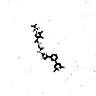 Cc1cc(-c2cccc(-c3csc(NC(=O)CNC(=O)c4cn(S(=O)(=O)C(C)C)c(C)c4C)n3)c2)cc(C)n1